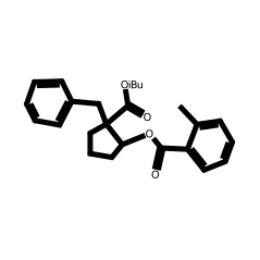 Cc1ccccc1C(=O)OC1CCCC1(Cc1ccccc1)C(=O)OCC(C)C